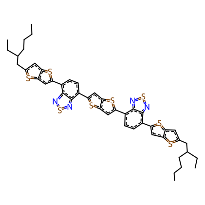 CCCCC(CC)Cc1cc2sc(-c3ccc(-c4cc5sc(-c6ccc(-c7cc8sc(CC(CC)CCCC)cc8s7)c7nsnc67)cc5s4)c4nsnc34)cc2s1